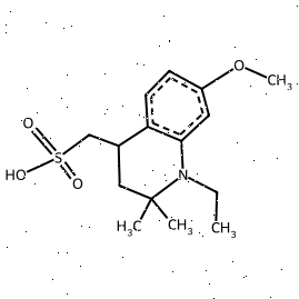 CCN1c2cc(OC)ccc2C(CS(=O)(=O)O)CC1(C)C